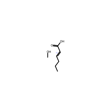 CCC/C=C/C(=O)O.CO